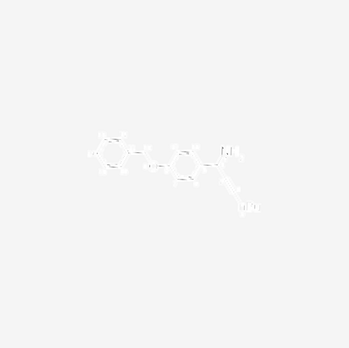 CCCCC#CC(N)c1ccc(OCc2ccccc2)cc1